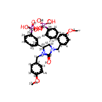 COc1ccc(CN2C(=O)N(Cc3ccc(OC)cc3)[C@@H](c3cccc(P(=O)(O)O)c3)[C@@H]2c2cccc(P(=O)(O)O)c2)cc1